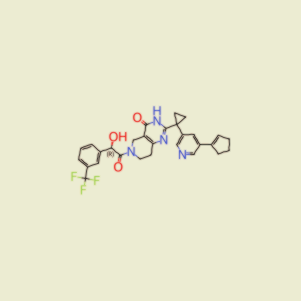 O=C([C@H](O)c1cccc(C(F)(F)F)c1)N1CCc2nc(C3(c4cncc(C5=CCCC5)c4)CC3)[nH]c(=O)c2C1